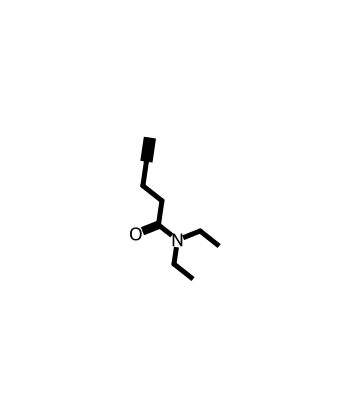 C#CCCC(=O)N(CC)CC